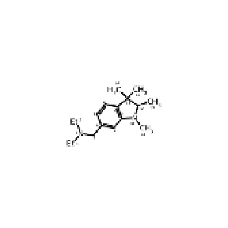 CCN(CC)Cc1ccc2c(c1)N(C)[C@H](C)C2(C)C